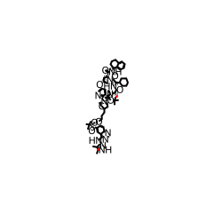 Cc1[nH]nc(Nc2ncnc3cc(OCCCC4CCN(c5ccc(O[C@H]6C[C@@H](C(=O)N[C@@H]7CCCc8ccccc87)N(C(=O)[C@@H](NC(=O)[C@H](C)N(C)C(=O)OC(C)(C)C)C7CCCCC7)C6)cn5)CC4)c(S(=O)(=O)C(C)(C)C)cc23)c1C